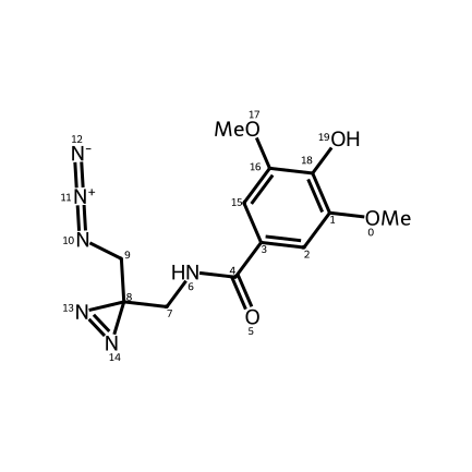 COc1cc(C(=O)NCC2(CN=[N+]=[N-])N=N2)cc(OC)c1O